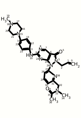 C=CCn1c(=O)c2cnc(Nc3ccc(N4CCN(C)CC4)cc3)nc2n1-c1cccc(CN(C)C(C)=O)n1